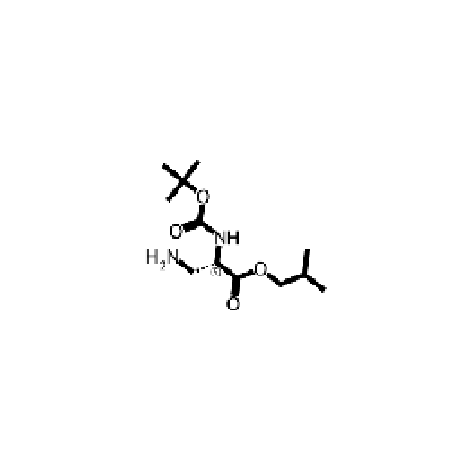 CC(C)COC(=O)[C@H](CN)NC(=O)OC(C)(C)C